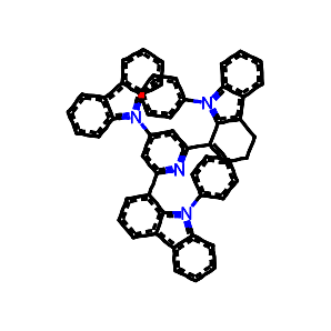 C1=C(c2cc(-n3c4ccccc4c4ccccc43)cc(-c3cccc4c5ccccc5n(-c5ccccc5)c34)n2)c2c(c3ccccc3n2-c2ccccc2)CC1